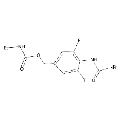 CCNC(=O)OCc1cc(F)c(NC(=O)C(C)C)c(F)c1